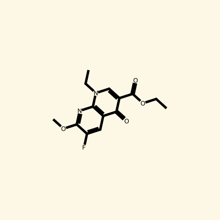 CCOC(=O)c1cn(CC)c2nc(OC)c(F)cc2c1=O